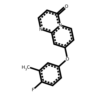 Cc1cc(Oc2ccn3c(=O)ccnc3c2)ccc1F